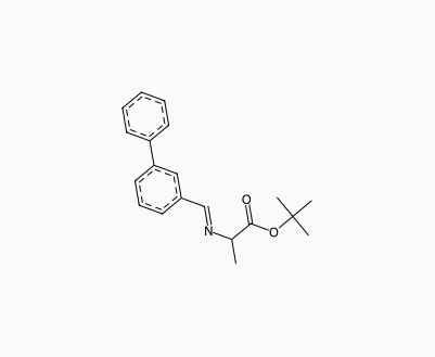 CC(N=Cc1cccc(-c2ccccc2)c1)C(=O)OC(C)(C)C